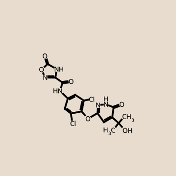 CC(C)(O)c1cc(Oc2c(Cl)cc(NC(=O)c3noc(=O)[nH]3)cc2Cl)n[nH]c1=O